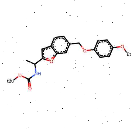 CCOc1ccc(OCc2ccc3cc(C(C)NC(=O)OC(C)(C)C)oc3c2)cc1